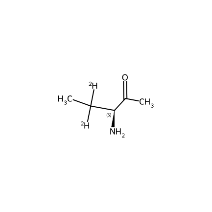 [2H]C([2H])(C)[C@H](N)C(C)=O